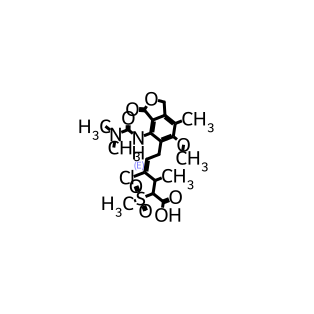 COc1c(C)c2c(c(NC(=O)N(C)C)c1C/C=C(/Cl)C(C)C(C(=O)O)S(C)(=O)=O)C(=O)OC2